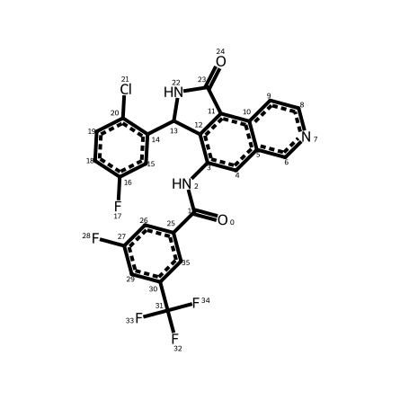 O=C(Nc1cc2cnccc2c2c1C(c1cc(F)ccc1Cl)NC2=O)c1cc(F)cc(C(F)(F)F)c1